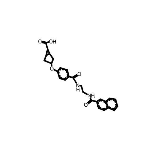 O=C(NCCNC(=O)c1ccc2ccccc2c1)c1ccc(OC2CC3C(C2)C3C(=O)O)cc1